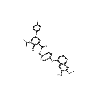 COc1cc2nccc(Oc3ccc(NC(=O)c4cc(-c5ccc(C)cc5)cn(C(C)C)c4=O)nc3)c2cc1OC